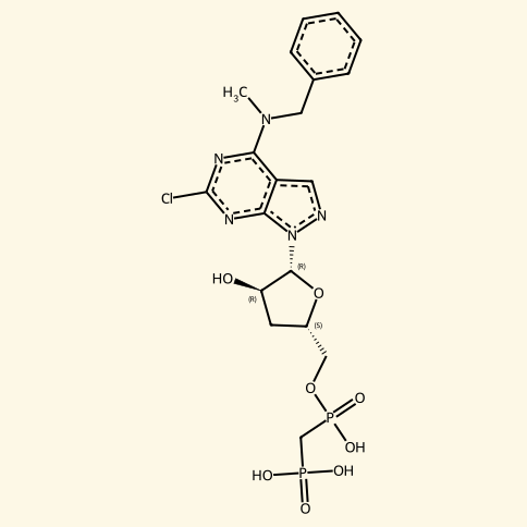 CN(Cc1ccccc1)c1nc(Cl)nc2c1cnn2[C@@H]1O[C@H](COP(=O)(O)CP(=O)(O)O)C[C@H]1O